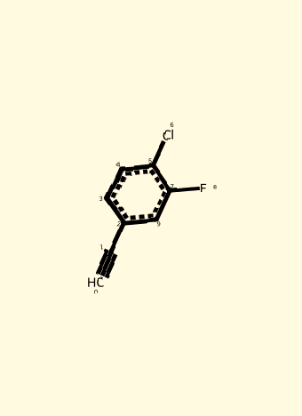 C#Cc1ccc(Cl)c(F)c1